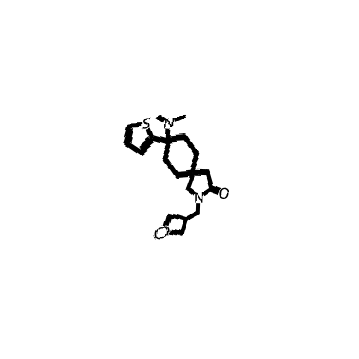 CN(C)C1(c2cccs2)CCC2(CC1)CC(=O)N(CC1COC1)C2